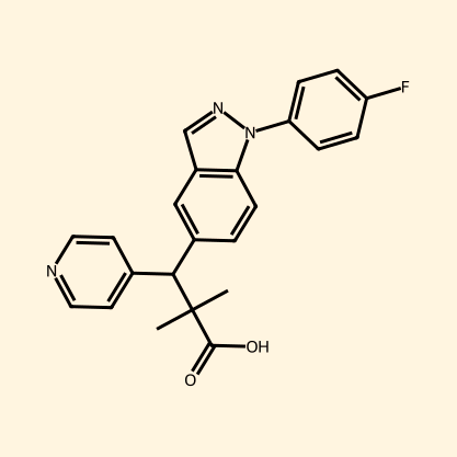 CC(C)(C(=O)O)C(c1ccncc1)c1ccc2c(cnn2-c2ccc(F)cc2)c1